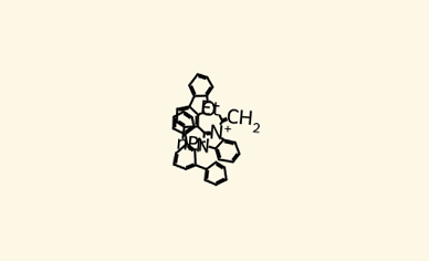 C=C(CC)[n+]1c(-c2c(CCC)ccc3c2oc2ccccc23)n(-c2c(-c3ccccc3)cccc2-c2ccccc2)c2ccccc21